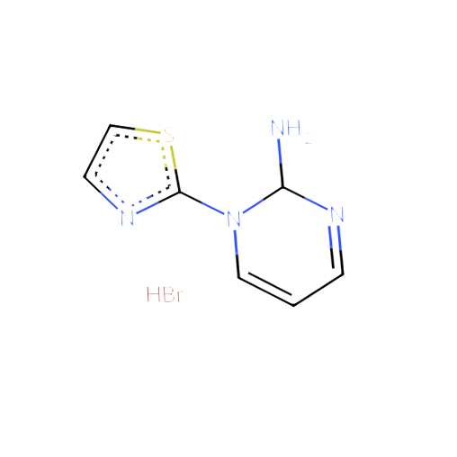 Br.NC1N=CC=CN1c1nccs1